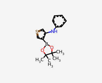 CC1(C)OB(c2cscc2Nc2ccccc2)OC1(C)C